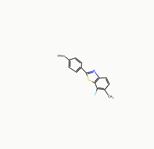 CCCCCCc1ccc(-c2nc3ccc(C)c(F)c3s2)cc1